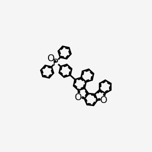 O=P(c1ccccc1)(c1ccccc1)c1ccc(-c2cc3oc4ccc5oc6ccccc6c5c4c3c3ccccc23)cc1